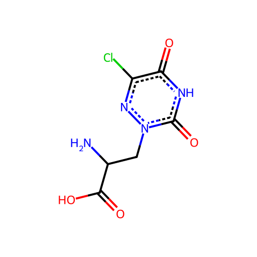 NC(Cn1nc(Cl)c(=O)[nH]c1=O)C(=O)O